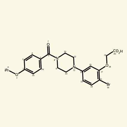 CC(C)Oc1ccc(C(=O)N2CCN(c3ccc(Br)c(OCC(=O)O)c3)CC2)cc1